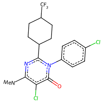 CNc1nc(C2CCC(C(F)(F)F)CC2)n(-c2ccc(Cl)cc2)c(=O)c1Cl